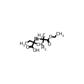 CCC(C)(Br)C(=O)O.CCOC(=O)C(C)(C)Br